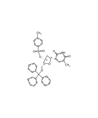 Cc1ccc(S(=O)(=O)O[C@@H]2C[C@H](n3cc(C)c(=O)[nH]c3=O)O[C@@H]2COC(c2ccccc2)(c2ccccc2)c2ccccc2)cc1